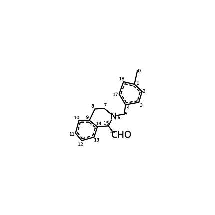 Cc1ccc(CN2CCc3ccccc3C2C=O)cc1